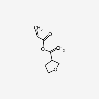 C=CC(=O)OC(=C)C1CCOC1